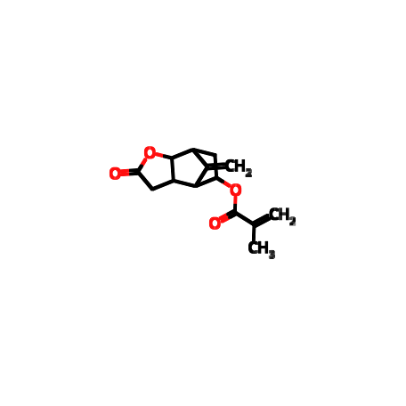 C=C(C)C(=O)OC1CC2C(=C)C1C1CC(=O)OC21